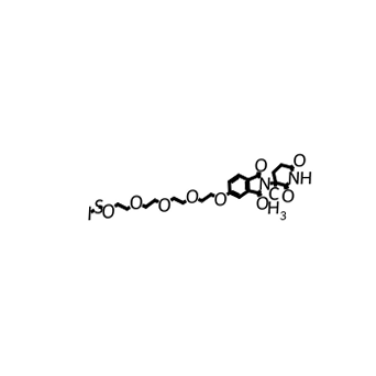 CC1(N2C(=O)c3ccc(OCCOCCOCCOCCOSI)cc3C2=O)CCC(=O)NC1=O